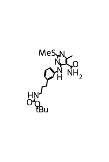 CSc1nc(C)c(C(N)=O)c(Nc2cccc(CCCNC(=O)OC(C)(C)C)c2)n1